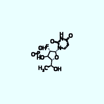 C[C@H](O)[C@H]1O[C@@H](n2ccc(=O)[nH]c2=O)[C@@H](F)C1O[PH](=O)O